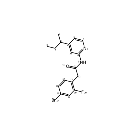 CCC(C)c1ccnc(NC(=O)Cc2ccc(Br)cc2F)c1